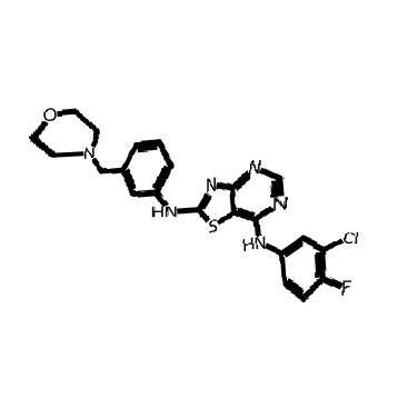 Fc1ccc(Nc2ncnc3nc(Nc4cccc(CN5CCOCC5)c4)sc23)cc1Cl